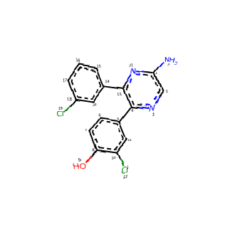 Nc1cnc(-c2ccc(O)c(Cl)c2)c(-c2cccc(Cl)c2)n1